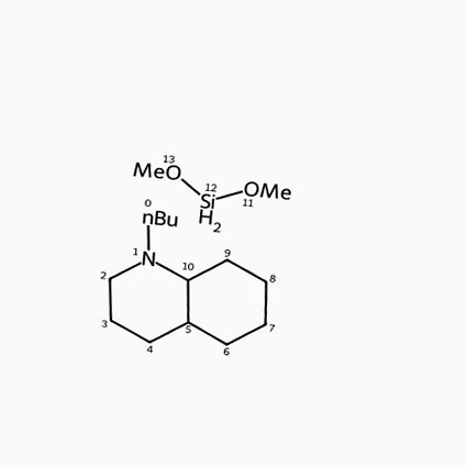 CCCCN1CCCC2CCCCC21.CO[SiH2]OC